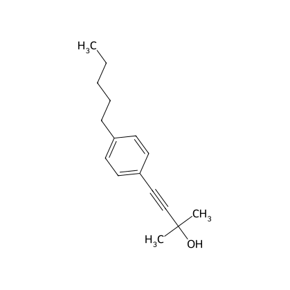 CCCCCc1ccc(C#CC(C)(C)O)cc1